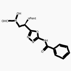 CCCCC[C@H](CN(O)C=O)c1nnc(NC(=O)c2ccccc2)o1